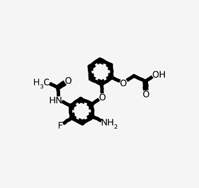 CC(=O)Nc1cc(Oc2ccccc2OCC(=O)O)c(N)cc1F